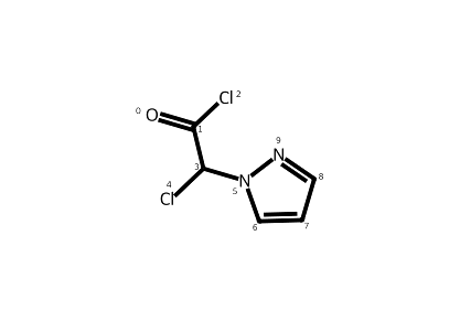 O=C(Cl)C(Cl)n1cccn1